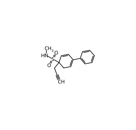 C#CCC1(S(=O)(=O)NC)C=CC(c2ccccc2)=CC1